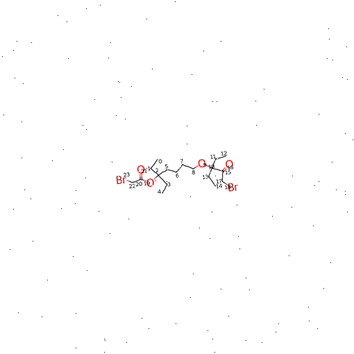 CCC(CC)(CCCCOC(CC)(CC)C(=O)CBr)OC(=O)CBr